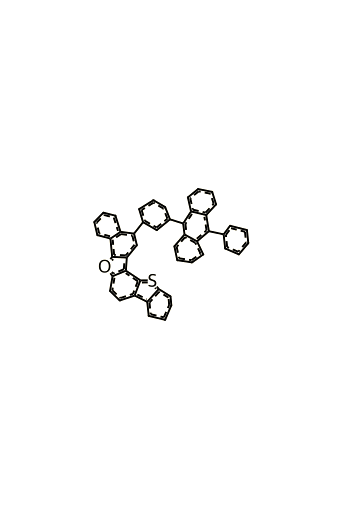 c1ccc(-c2c3ccccc3c(-c3cccc(-c4cc5c(oc6ccc7c8ccccc8sc7c65)c5ccccc45)c3)c3ccccc23)cc1